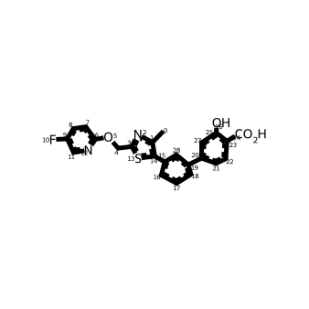 Cc1nc(COc2ccc(F)cn2)sc1-c1cccc(-c2ccc(C(=O)O)c(O)c2)c1